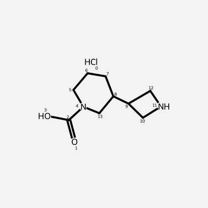 Cl.O=C(O)N1CCCC(C2CNC2)C1